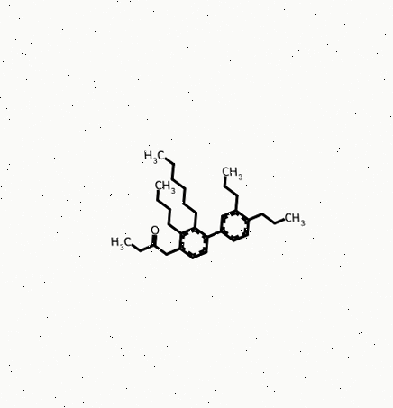 CCCCCCc1c(-c2ccc(CCC)c(CCC)c2)ccc(CC(=O)CC)c1CCCC